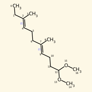 CC/C(C)=C/CC/C(C)=C/CCC(OC)OC